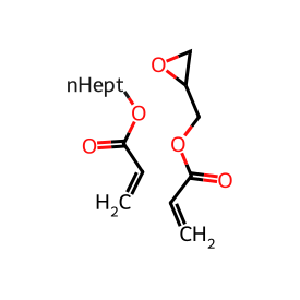 C=CC(=O)OCC1CO1.C=CC(=O)OCCCCCCC